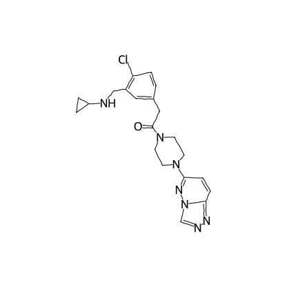 O=C(Cc1ccc(Cl)c(CNC2CC2)c1)N1CCN(c2ccc3nncn3n2)CC1